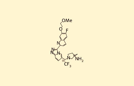 COCCOc1cc2nc(-c3nnc4ccc([C@H](N5CC[C@](C)(N)C5)C(F)(F)F)cn34)ccc2cc1F